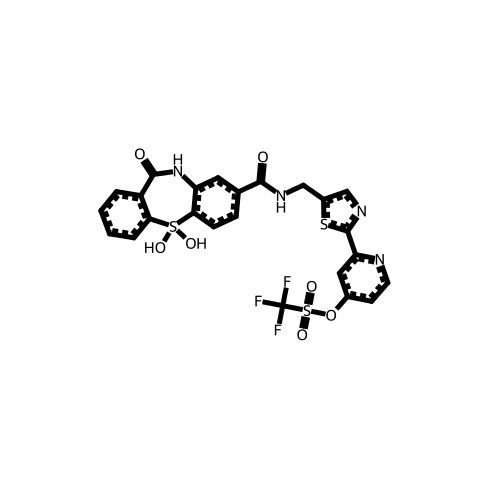 O=C(NCc1cnc(-c2cc(OS(=O)(=O)C(F)(F)F)ccn2)s1)c1ccc2c(c1)NC(=O)c1ccccc1S2(O)O